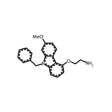 COc1ccc2c3c(OCCN)cccc3n(Cc3ccccc3)c2c1